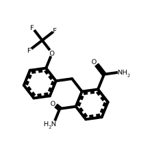 NC(=O)c1cccc(C(N)=O)c1Cc1ccccc1OC(F)(F)F